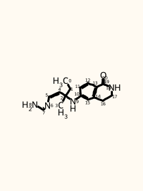 CCC(C)(/C=C\N=C/N)Nc1ccc2c(c1)CCNC2=O